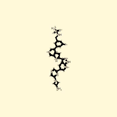 CS(=O)(=O)NCc1cc(F)cc(-c2cncc3[nH]c(-c4n[nH]c5ncc(-c6cncc(N7CC(N)C7)n6)cc45)cc23)c1